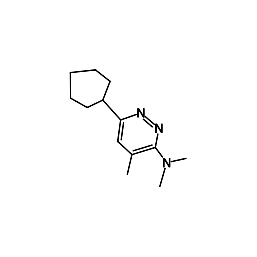 Cc1cc(C2CCCCC2)nnc1N(C)C